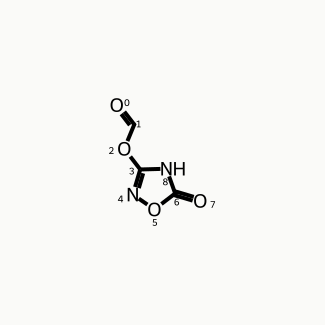 O=COc1noc(=O)[nH]1